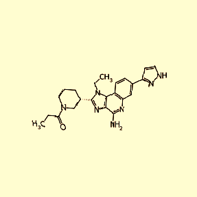 CCC(=O)N1CCC[C@H](c2nc3c(N)nc4cc(-c5cc[nH]n5)ccc4c3n2CC)C1